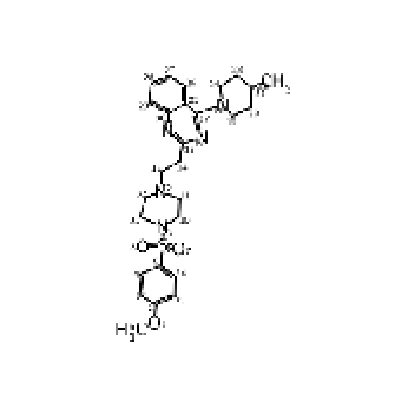 COc1ccc(S(=O)(=O)N2CCN(CCc3nc(N4CCC(C)CC4)c4ccccc4n3)CC2)cc1